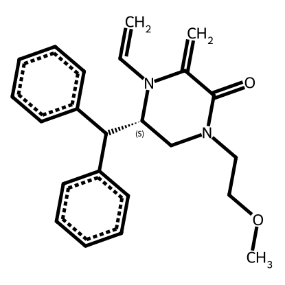 C=CN1C(=C)C(=O)N(CCOC)C[C@@H]1C(c1ccccc1)c1ccccc1